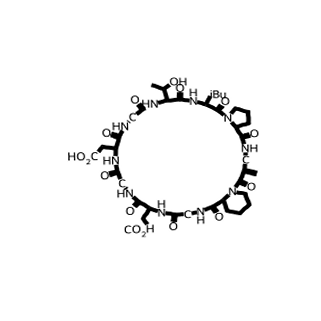 C=C1CNC(=O)C2CCCN2C(=O)C(C(C)CC)NC(=O)C(C(C)O)NC(=O)CNC(=O)C(CC(=O)O)NC(=O)CNC(=O)C(CC(=O)O)NC(=O)CNC(=O)C2CCCCN2C1=O